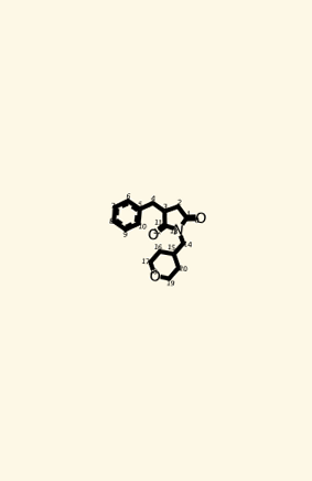 O=C1CC(Cc2ccccc2)C(=O)N1CC1CCOCC1